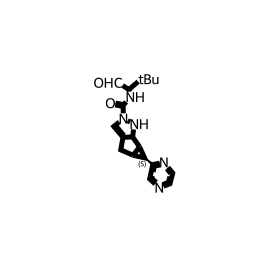 CC(C)(C)C(C=O)NC(=O)N1C=C2CC3C(C2N1)[C@H]3c1cnccn1